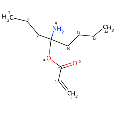 C=CC(=O)OC(N)(CCC)CCCC